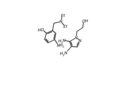 CCN(CC)Cc1cc(N)ccc1O.Nc1cnn(CCO)c1N